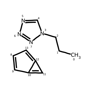 CCCn1cnnn1.c1cc2cc-2c1